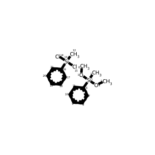 CO[Si](C)(OC)c1ccccc1.C[Si](Cl)(Cl)c1ccccc1